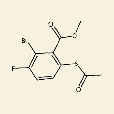 COC(=O)c1c(SC(C)=O)ccc(F)c1Br